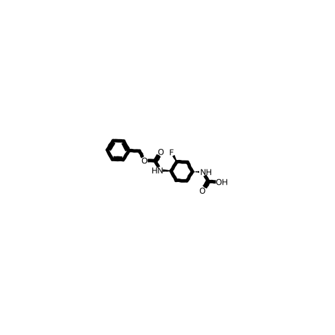 O=C(O)N[C@@H]1CC[C@@H](NC(=O)OCc2ccccc2)[C@@H](F)C1